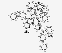 CC(C)(C)c1ccc2c(c1)B1c3ccc(N4c5ccc(-c6ccccc6)cc5C5(C)CCCCC45C)cc3N(c3cccc4c3oc3ccccc34)c3cc(N4c5ccccc5C5(C)CCCCC45C)cc(c31)N2c1ccc2sc3ccccc3c2c1